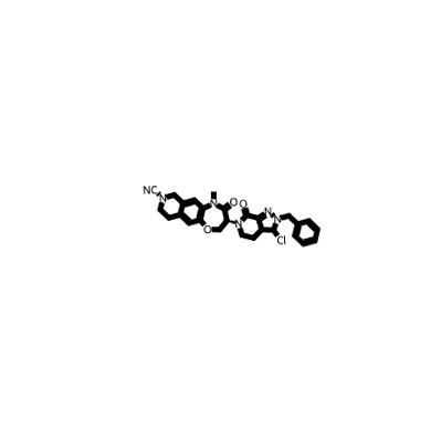 CN1C(=O)[C@@H](N2CCC3C(=NN(Cc4ccccc4)C3Cl)C2=O)COc2cc3c(cc21)CN(C#N)CC3